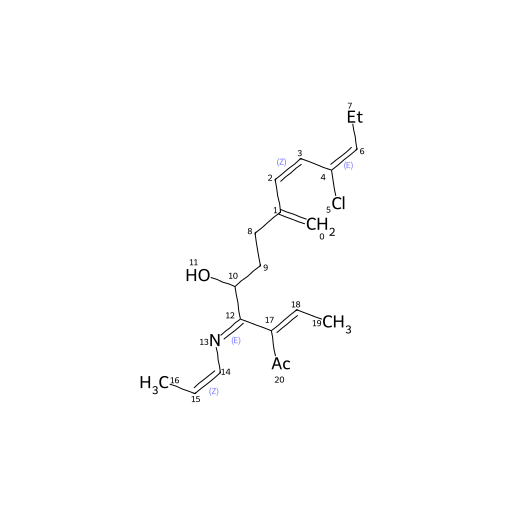 C=C(/C=C\C(Cl)=C/CC)CCC(O)/C(=N/C=C\C)C(=CC)C(C)=O